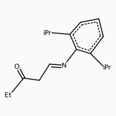 CCC(=O)CC=Nc1c(C(C)C)cccc1C(C)C